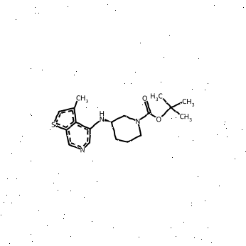 Cc1csc2cncc(N[C@@H]3CCCN(C(=O)OC(C)(C)C)C3)c12